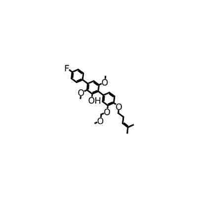 COCOc1cc(-c2c(OC)cc(-c3ccc(F)cc3)c(OC)c2O)ccc1OCCC=C(C)C